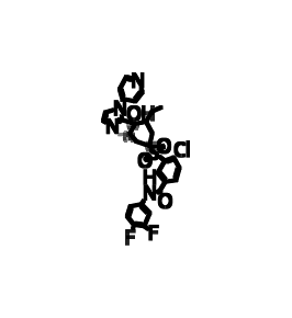 CCC1C[C@@H](S(=O)(=O)c2cc(C(=O)Nc3ccc(F)c(F)c3)ccc2Cl)C[C@H](C)[C@@]1(O)c1nccn1-c1ccncc1